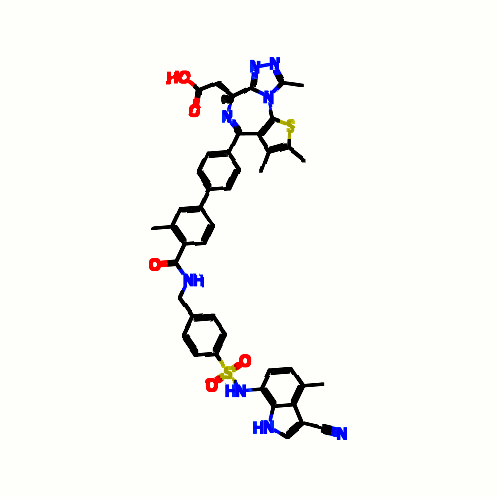 Cc1cc(-c2ccc(C3=N[C@@H](CC(=O)O)c4nnc(C)n4-c4sc(C)c(C)c43)cc2)ccc1C(=O)NCc1ccc(S(=O)(=O)Nc2ccc(C)c3c(C#N)c[nH]c23)cc1